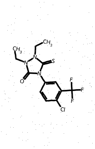 CCn1c(=O)n(-c2ccc(Cl)c(C(F)(F)F)c2)c(=S)n1CC